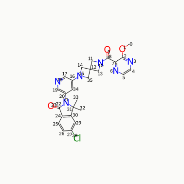 COc1nccnc1C(=O)N1CC2(C1)CN(c1cncc(N3C(=O)c4ccc(Cl)cc4C3(C)C)c1)C2